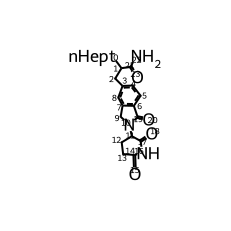 CCCCCCCC(Cc1ccc2c(c1)CN(C1CCC(=O)NC1=O)C2=O)C(N)=O